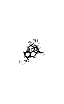 [2H][C@]12Cc3ccc(OC)c4c3[C@@]3(CCN1C)C(O4)C(=O)CC[C@H]32